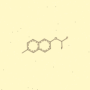 Cc1ccc2cc(OC(F)F)ccc2c1